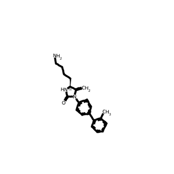 C=C1[C@H](CCCCN)NC(=O)N1c1ccc(-c2ccccc2C)cc1